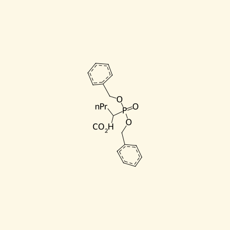 CCCC(C(=O)O)P(=O)(OCc1ccccc1)OCc1ccccc1